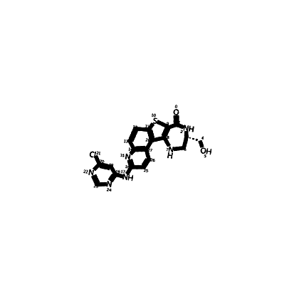 O=C1N[C@H](CO)CNc2c1sc1ccc3nc(Nc4cc(Cl)ncn4)ccc3c21